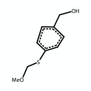 COCSc1ccc(CO)cc1